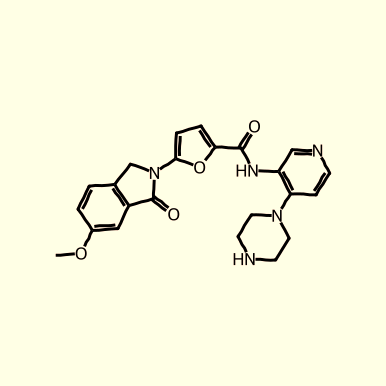 COc1ccc2c(c1)C(=O)N(c1ccc(C(=O)Nc3cnccc3N3CCNCC3)o1)C2